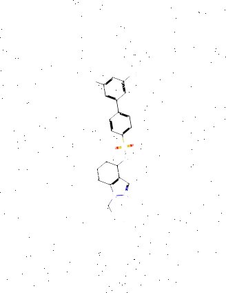 Cc1cc(C)cc(-c2ccc(S(=O)(=O)NC3CCCc4c3cnn4CC(=O)O)cc2)c1